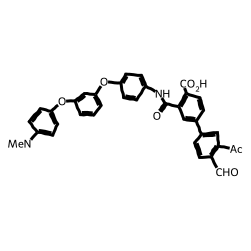 CNc1ccc(Oc2cccc(Oc3ccc(NC(=O)c4cc(-c5ccc(C=O)c(C(C)=O)c5)ccc4C(=O)O)cc3)c2)cc1